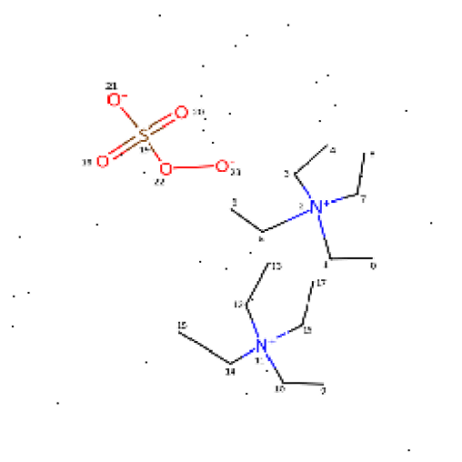 CC[N+](CC)(CC)CC.CC[N+](CC)(CC)CC.O=S(=O)([O-])O[O-]